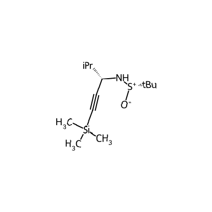 CC(C)[C@@H](C#C[Si](C)(C)C)N[S@@+]([O-])C(C)(C)C